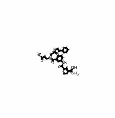 N=C(N)c1ccnc(C(=O)Nc2ccc3c(c2)C(=O)N(CCC(=O)O)Cc2ncc(-c4ccccc4)n2-3)c1